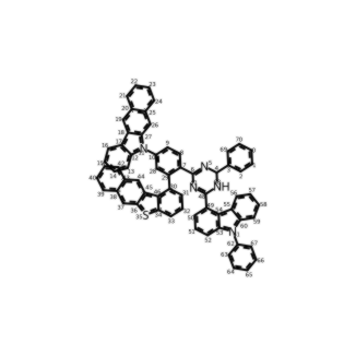 c1ccc(C2N=C(c3ccc(-n4c5ccccc5c5cc6ccccc6cc54)cc3-c3cccc4sc5cc6ccccc6cc5c34)N=C(c3cccc4c3c3ccccc3n4-c3ccccc3)N2)cc1